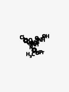 Cc1cc(/N=c2\[nH]n(CC3(C(=O)NCCO)CC3)c(=O)n2Cc2ccc(Cl)cc2)ccc1OC(C)C